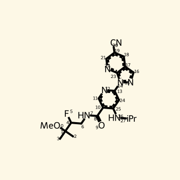 COC(C)(C)C(F)CNC(=O)c1cnc(-n2ncc3cc(C#N)cnc32)cc1NC(C)C